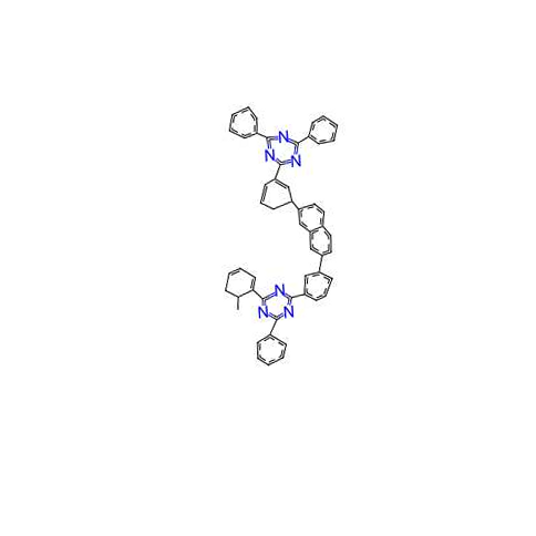 CC1CC=CC=C1c1nc(-c2ccccc2)nc(-c2cccc(-c3ccc4ccc(C5C=C(c6nc(-c7ccccc7)nc(-c7ccccc7)n6)C=CC5)cc4c3)c2)n1